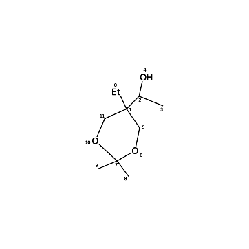 CCC1(C(C)O)COC(C)(C)OC1